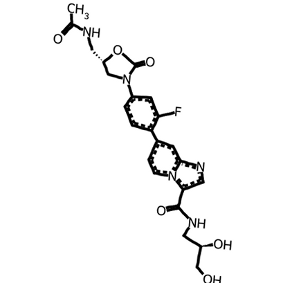 CC(=O)NC[C@H]1CN(c2ccc(-c3ccn4c(C(=O)NC[C@@H](O)CO)cnc4c3)c(F)c2)C(=O)O1